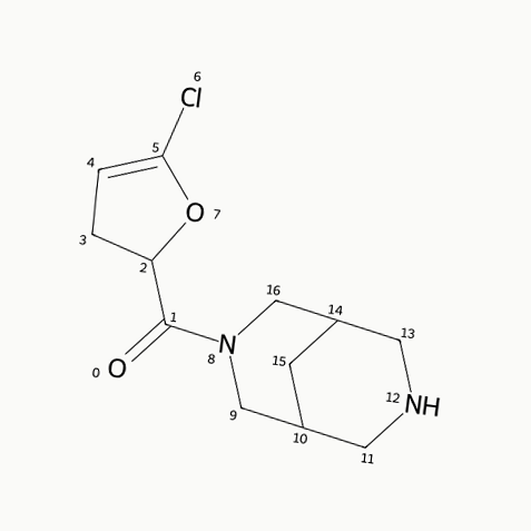 O=C(C1CC=C(Cl)O1)N1CC2CNCC(C2)C1